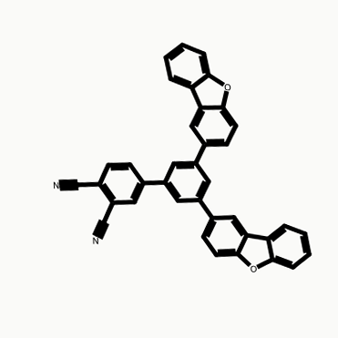 N#Cc1ccc(-c2cc(-c3ccc4oc5ccccc5c4c3)cc(-c3ccc4oc5ccccc5c4c3)c2)cc1C#N